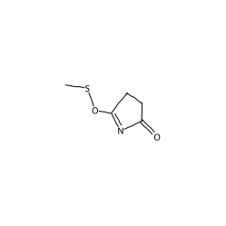 CSOC1=NC(=O)CC1